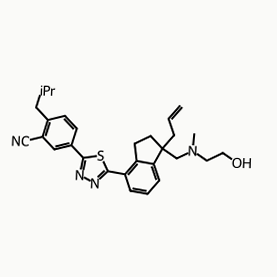 C=CCC1(CN(C)CCO)CCc2c(-c3nnc(-c4ccc(CC(C)C)c(C#N)c4)s3)cccc21